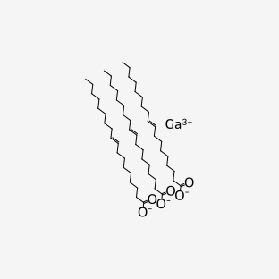 CCCCCCCCC=CCCCCCCCC(=O)[O-].CCCCCCCCC=CCCCCCCCC(=O)[O-].CCCCCCCCC=CCCCCCCCC(=O)[O-].[Ga+3]